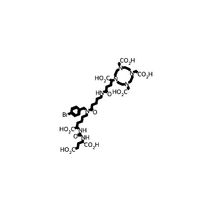 O=C(O)CC[C@H](NC(=O)NC(CCCCN(Cc1ccc(Br)cc1)C(=O)CCCCNC(=O)CCC(C(=O)O)N1CCN(CC(=O)O)CCN(CC(=O)O)CCN(CC(=O)O)CC1)C(=O)O)C(=O)O